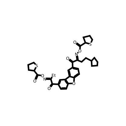 CC/C(=N\OC(=O)C1CCCS1)C(=O)c1ccc2oc3ccc(C(=O)/C(CCC4CCCC4)=N/OC(=O)C4CCCS4)cc3c2c1